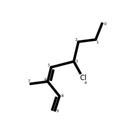 [CH2]CCC(Cl)C=C(C)C=C